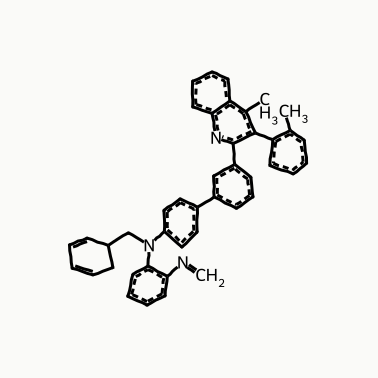 C=Nc1ccccc1N(CC1C=CC=CC1)c1ccc(-c2cccc(-c3nc4ccccc4c(C)c3-c3ccccc3C)c2)cc1